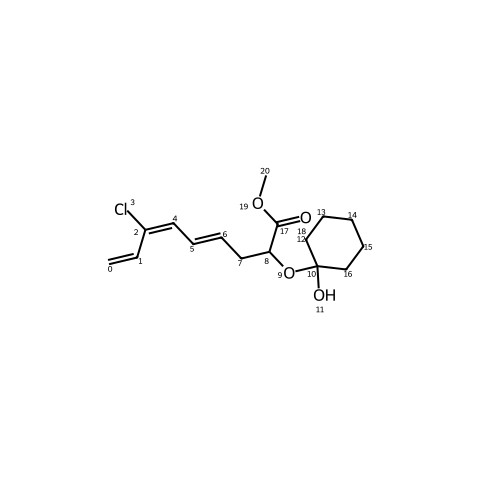 C=C/C(Cl)=C\C=C\CC(OC1(O)CCCCC1)C(=O)OC